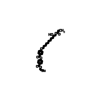 C=CC(=O)OCC(O)CCCCCCCCCOc1ccc(C(=O)Oc2ccc(C(=O)OCC(C)CC)cc2)cc1